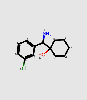 NC(c1cccc(Cl)c1)C1(O)CCCCC1